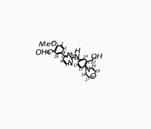 COc1ccc(-c2ccnc(Nc3ccc(N4CCOCC4)c(CO)c3)n2)cc1C=O